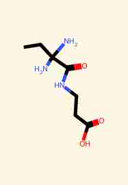 CCC(N)(N)C(=O)NCCC(=O)O